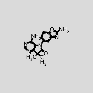 CC1(C)C(=O)N(c2ccc3oc(N)nc3c2)c2c(N)ncnc21